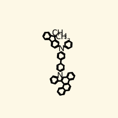 CC1(C)c2ccccc2-c2ccc(N(c3ccccc3)c3ccc(C4C=CC(n5c6ccccc6c6c7c8ccccc8ccc7c7ccccc7c65)=CC4)cc3)cc21